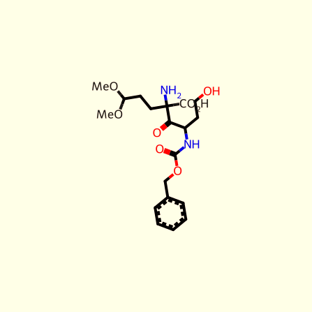 COC(CCC(N)(C(=O)O)C(=O)C(CCO)NC(=O)OCc1ccccc1)OC